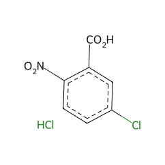 Cl.O=C(O)c1cc(Cl)ccc1[N+](=O)[O-]